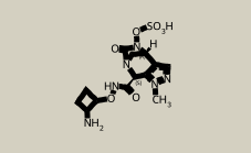 Cn1ncc2c1[C@@H](C(=O)NOC1CCC1N)N1C[C@@H]2N(OS(=O)(=O)O)C1=O